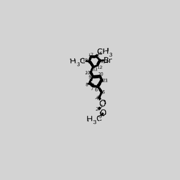 COCOCCc1ccc(Cc2cc(Br)c(C)cc2C)cc1